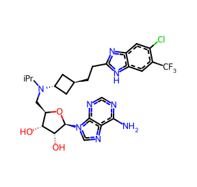 CC(C)N(C[C@H]1O[C@@H](n2cnc3c(N)ncnc32)[C@H](O)[C@@H]1O)[C@H]1C[C@H](CCc2nc3cc(Cl)c(C(F)(F)F)cc3[nH]2)C1